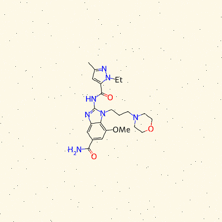 CCn1nc(C)cc1C(=O)Nc1nc2cc(C(N)=O)cc(OC)c2n1CCCN1CCOCC1